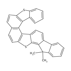 CC1(C)c2ccccc2-c2ccc3c(sc4ccc5ccc6sc7ccccc7c6c5c43)c21